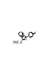 CCOC(=O)c1nn(-c2ccc(F)cc2)c2c1C1CCC2C1